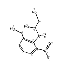 O=[N+]([O-])c1cccc(CO)c1C(O)C(O)CO